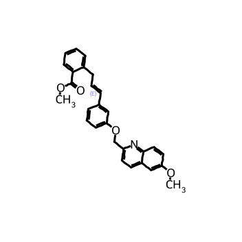 COC(=O)c1ccccc1C/C=C/c1cccc(OCc2ccc3cc(OC)ccc3n2)c1